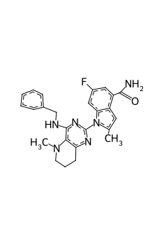 Cc1cc2c(C(N)=O)cc(F)cc2n1-c1nc2c(c(NCc3ccccc3)n1)N(C)CCC2